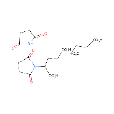 O=C(O)CCC(=O)O.O=C(O)CCC(C(=O)O)N1C(=O)CCC1=O.O=C1CCC(=O)N1